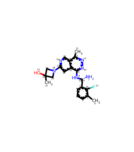 Cc1cccc([C@@H](N)Nc2nnc(C)c3cnc(N4CC(C)(O)C4)cc23)c1F